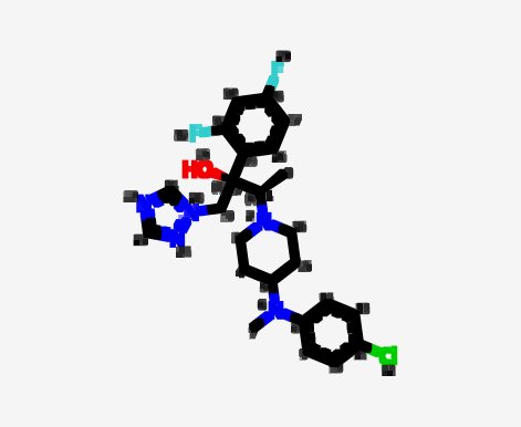 C[C@@H](N1CCC(N(C)c2ccc(Cl)cc2)CC1)[C@](O)(Cn1cncn1)c1ccc(F)cc1F